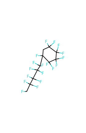 FCC(F)(F)C(F)(F)C(F)(F)C(F)(F)C1(F)CC(F)(F)C(F)(F)C(F)(F)C1(F)F